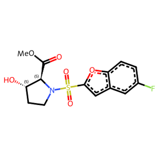 COC(=O)[C@@H]1[C@@H](O)CCN1S(=O)(=O)c1cc2cc(F)ccc2o1